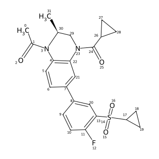 CC(=O)N1c2ccc(-c3ccc(F)c(S(=O)(=O)C4CC4)c3)cc2N(C(=O)C2CC2)C[C@@H]1C